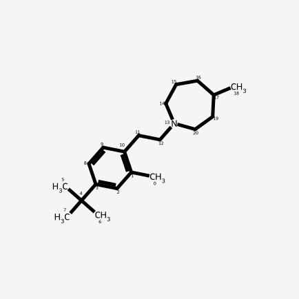 Cc1cc(C(C)(C)C)ccc1CCN1CCCC(C)CC1